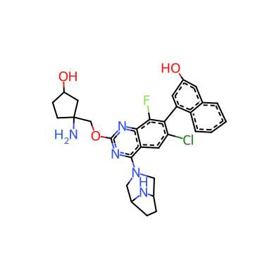 NC1(COc2nc(N3CC4CCC(C3)N4)c3cc(Cl)c(-c4cc(O)cc5ccccc45)c(F)c3n2)CCC(O)C1